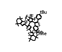 COc1cc2sc(-c3ccc(C(C)(C)C)cc3)c(C3=C(c4cc(-c5cc6c(s5)C(C)(C)CCC6(C)C)sc4-c4cc5c(s4)C(C)(C)CCC5(C)C)C(F)(F)C(F)(F)C3(F)F)c2cc1OC